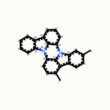 Cc1ccc2c3c(C)ccc4c3n(c2c1)c1cccc2c3ccccc3n4c21